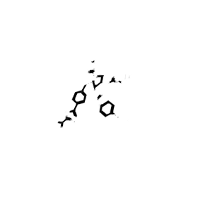 CC(C)(C)OC(=O)O[C@H]1CN(C(=O)OC(C)(C)C)[C@H](Cc2ccc(-c3cnc(C(F)F)s3)cc2)[C@@H]1OC(=O)Oc1ccc([N+](=O)[O-])cc1